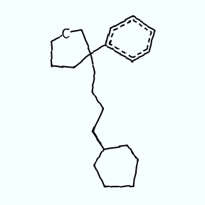 c1ccc(C2(CCCCC3CCCCC3)CCCCC2)cc1